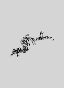 CC[C@@H](C[C@H]1CCC2C(CC[C@@]3(C)C2CC[C@@H]3[C@H](C)CCC(=O)N[C@@H](CC(C)C)C(=O)OC)C1(C)C)NCCCNCCCCNCCCN